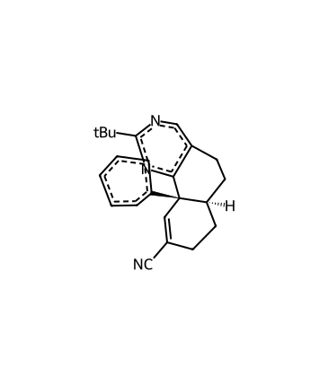 CC(C)(C)c1ncc2c(n1)[C@@]1(c3ccccc3)C=C(C#N)CC[C@@H]1CC2